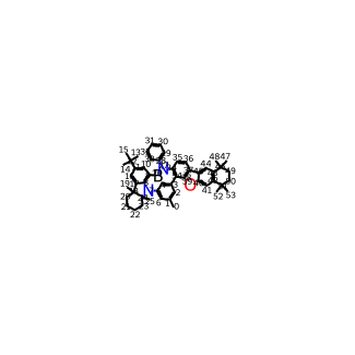 Cc1cc2c3c(c1)N1c4c(cc(C(C)(C)C)cc4C4(C)CCCCC14C)B3N(c1ccccc1)c1ccc3c(oc4cc5c(cc43)C(C)(C)CCC5(C)C)c1-2